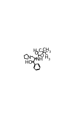 CC(C)(C)OC(=O)N[C@H](CN1CCCC1)[C@H](O)c1ccccc1